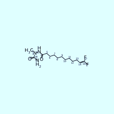 CN(NC(=O)CCCCCCCCCC=C(F)F)C(N)=O